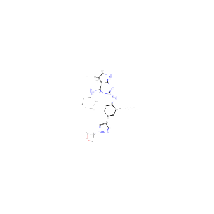 COc1cc(-c2cnn(C3COC3)c2)ccc1Nc1nc(NC2CCCCC2)c2c(C#N)c[nH]c2n1